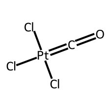 O=[C]=[Pt]([Cl])([Cl])[Cl]